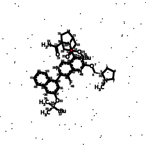 CN1CCC[C@H]1COc1nc(N2CC3CCC(C(N)=O)(C2)N3C(=O)OC(C)(C)C)c2cnc(-c3cc(O[Si](C)(C)C(C)(C)C)cc4ccccc34)c(F)c2n1